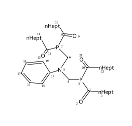 CCCCCCCC(=O)P(CN(CP(C(=O)CCCCCCC)C(=O)CCCCCCC)c1ccccc1)C(=O)CCCCCCC